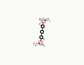 C[C@H](OC(=O)c1ccc(-c2ccc(-c3ccc(C(=O)O[C@@H](C)C(F)(F)F)c(F)c3)cc2)cc1F)C(F)(F)F